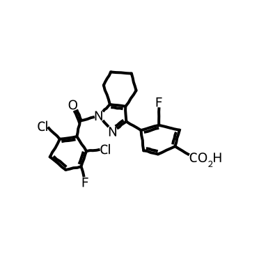 O=C(O)c1ccc(-c2nn(C(=O)c3c(Cl)ccc(F)c3Cl)c3c2CCCC3)c(F)c1